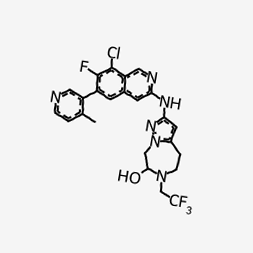 Cc1ccncc1-c1cc2cc(Nc3cc4n(n3)CC(O)N(CC(F)(F)F)CC4)ncc2c(Cl)c1F